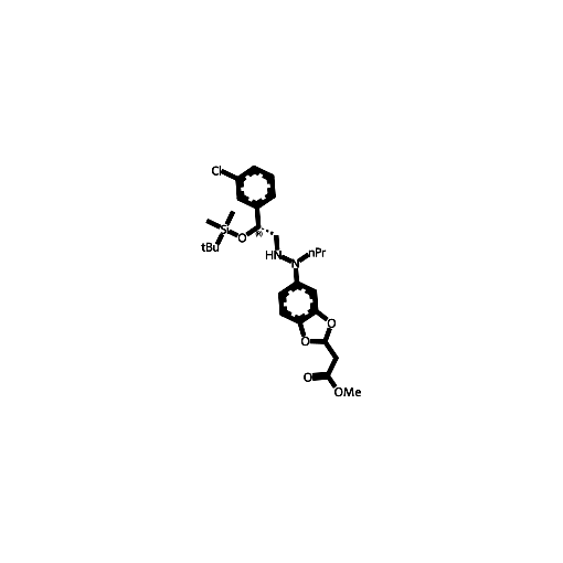 CCCN(NC[C@H](O[Si](C)(C)C(C)(C)C)c1cccc(Cl)c1)c1ccc2c(c1)OC(CC(=O)OC)O2